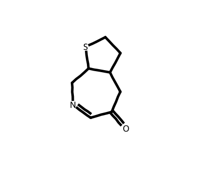 O=C1C=NCC2SCCC2C1